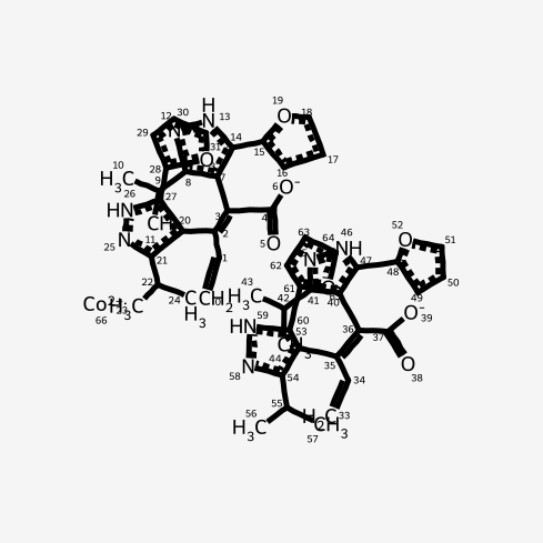 C=CC(=C(C(=O)[O-])c1c(C(C)C)n[nH]c1-c1ccco1)c1c(C(C)C)n[nH]c1-c1ccco1.C=CC(=C(C(=O)[O-])c1c(C(C)C)n[nH]c1-c1ccco1)c1c(C(C)C)n[nH]c1-c1ccco1.[Co+2]